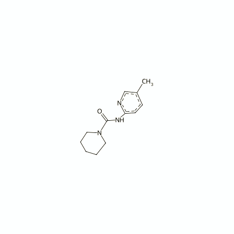 Cc1ccc(NC(=O)N2CCCCC2)nc1